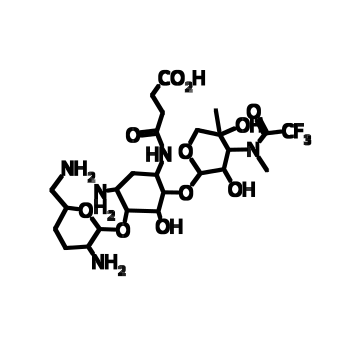 CN(C(=O)C(F)(F)F)C1C(O)C(OC2C(NC(=O)CCC(=O)O)CC(N)C(OC3OC(CN)CCC3N)C2O)OCC1(C)O